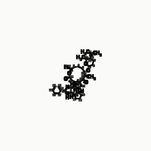 CC[C@H]1CCC[C@H](O[C@H]2CC[C@H](N(C)C)C(C)O2)[C@@H](C)C(=O)C2=C[C@H]3[C@@H]4CCC[C@H]4c4[nH]c(-c5ccccc5)nc4[C@H]3[C@@H]2CC(=O)O1